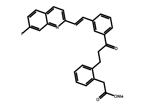 COC(=O)Cc1ccccc1CCC(=O)c1cccc(/C=C/c2ccc3ccc(I)cc3n2)c1